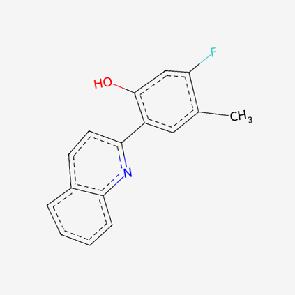 Cc1cc(-c2ccc3ccccc3n2)c(O)cc1F